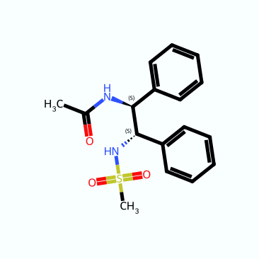 CC(=O)N[C@@H](c1ccccc1)[C@@H](NS(C)(=O)=O)c1ccccc1